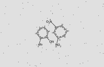 CCCc1ccccc1O.O=[N+]([O-])c1cccc([N+](=O)[O-])c1